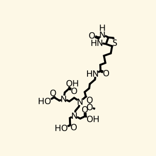 COOC(CCCCNC(=O)CCCCC1SCC2NC(=O)NC21)N(CCN(CC(=O)O)CC(=O)O)CCN(CC(=O)O)CC(=O)O